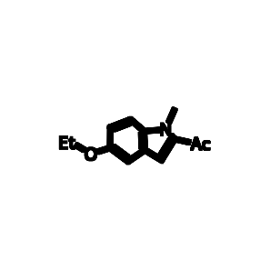 CCOc1ccc2c(c1)cc(C(C)=O)n2C